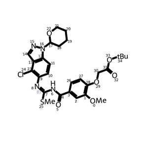 COc1cc(C(=O)N/C(=N\c2ccc3c(cnn3C3CCCCO3)c2Cl)SC)ccc1OCC(=O)OC(C)(C)C